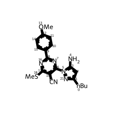 CCCCc1cc(N)n(-c2nc(-c3ccc(OC)cc3)nc(SC)c2C#N)n1